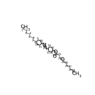 CCCCCCCCc1ccc(/N=N/c2ccc(OC(=O)CCOCCCCCCC)cc2)cc1